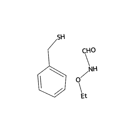 CCONC=O.SCc1ccccc1